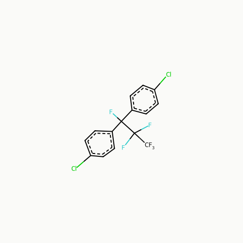 FC(F)(F)C(F)(F)C(F)(c1ccc(Cl)cc1)c1ccc(Cl)cc1